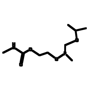 CNC(=O)OCCOP(C)COC(C)C